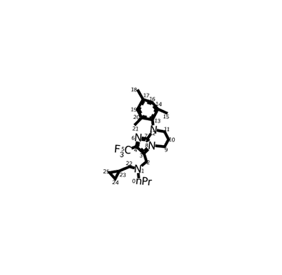 CCCN(Cc1c(C(F)(F)F)nc2n1CCCN2c1c(C)cc(C)cc1C)CC1CC1